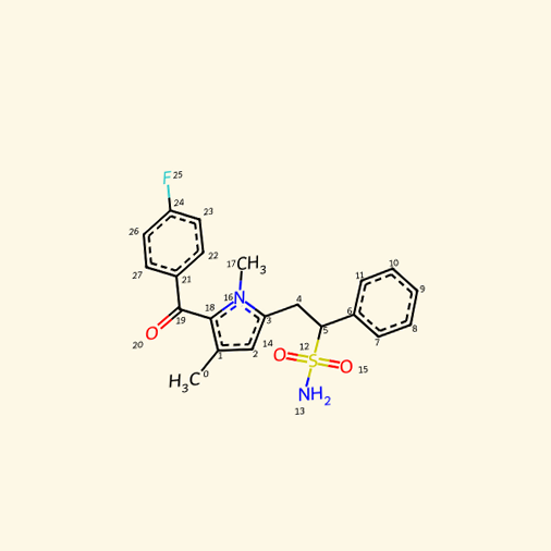 Cc1cc(CC(c2ccccc2)S(N)(=O)=O)n(C)c1C(=O)c1ccc(F)cc1